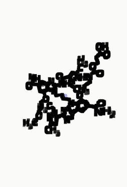 CCn1nc(C)cc1C(=O)Nc1nc2cc(C(N)=O)cc(OCCCOC)c2n1C/C=C/Cn1c2nc(-c3cc(C)nn3CC)ncc2c2cc(C(N)=O)cc(OCCCNC(=O)OCCC(=O)O)c21